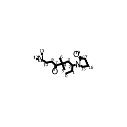 CCC(CC(C)(C)C(=O)CCN(C)C)N1CCCC1=O